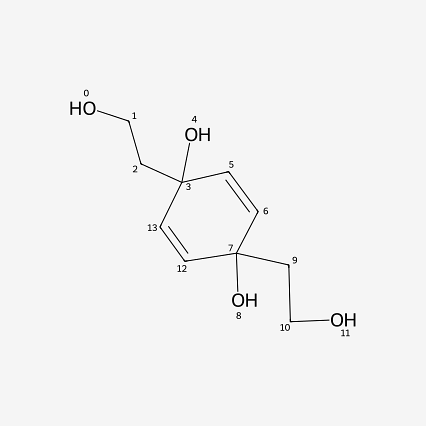 OCCC1(O)C=CC(O)(CCO)C=C1